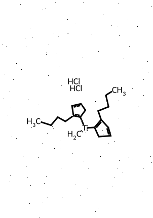 Cl.Cl.[CH2]=[Ti]([C]1=C(CCCC)C=CC1)[C]1=C(CCCC)C=CC1